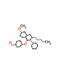 CCCCCc1cc2cc(OC)ccc2c(Oc2ccc(C=O)cc2)c1-c1ccccc1